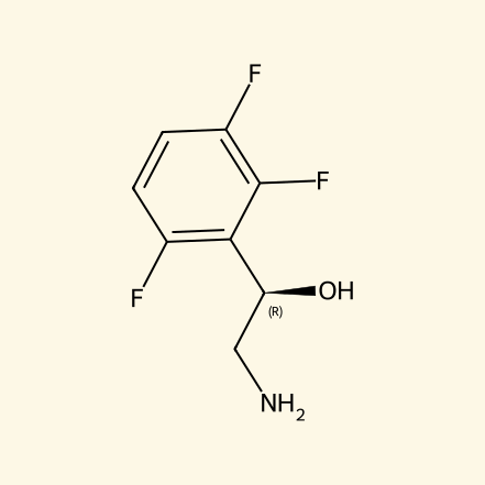 NC[C@H](O)c1c(F)ccc(F)c1F